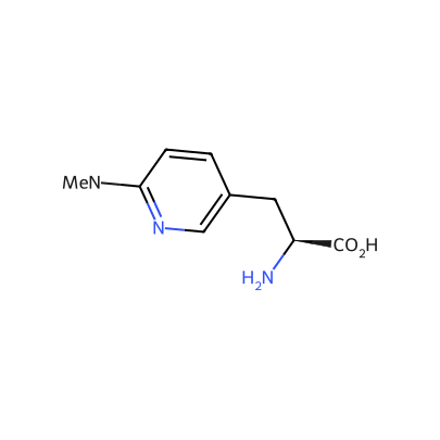 CNc1ccc(C[C@H](N)C(=O)O)cn1